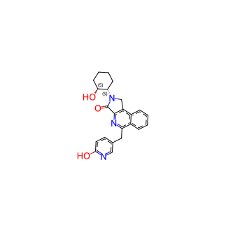 O=C1c2nc(Cc3ccc(O)nc3)c3ccccc3c2CN1[C@H]1CCCC[C@@H]1O